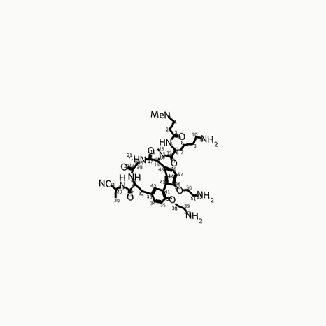 CNCCC(=O)N[C@@H](CCCCN)C(=O)N(C)[C@@H]1C(=O)N[C@@H](C)C(=O)N[C@H](C(=O)NC(C)C#N)Cc2ccc(OCCN)c(c2)-c2cc1ccc2OCCN